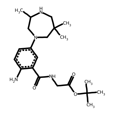 CC1CN(c2ccc(N)c(C(=O)NCC(=O)OC(C)(C)C)c2)CC(C)(C)CN1